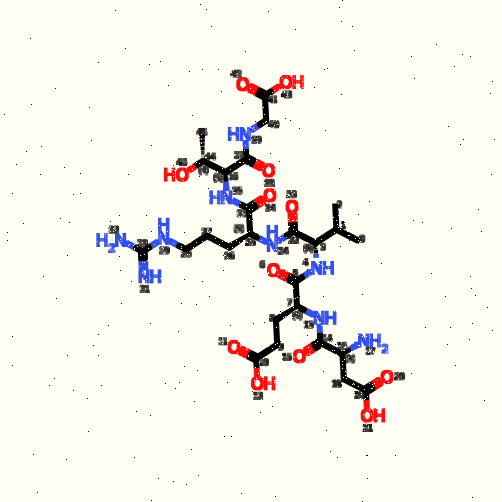 CC(C)[C@H](NC(=O)[C@H](CCC(=O)O)NC(=O)[C@@H](N)CC(=O)O)C(=O)N[C@@H](CCCNC(=N)N)C(=O)N[C@H](C(=O)NCC(=O)O)[C@@H](C)O